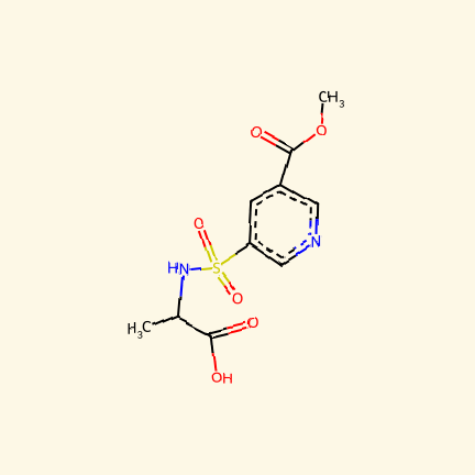 COC(=O)c1cncc(S(=O)(=O)NC(C)C(=O)O)c1